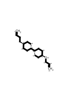 C=CCC[C@H]1CC[C@H]([C@H]2CC[C@H](OCC=C)CC2)CC1